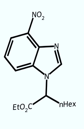 CCCCCCC(C(=O)OCC)n1cnc2c([N+](=O)[O-])cccc21